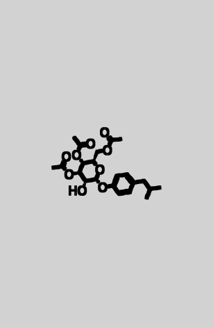 CC(=O)OC[C@H]1O[C@@H](Oc2ccc(CC(C)C)cc2)[C@H](O)[C@@H](OC(C)=O)[C@H]1OC(C)=O